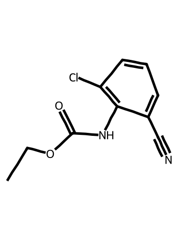 CCOC(=O)Nc1c(Cl)cccc1C#N